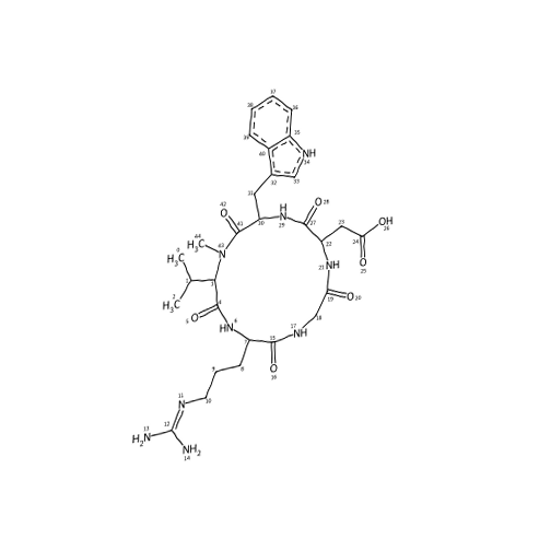 CC(C)C1C(=O)NC(CCCN=C(N)N)C(=O)NCC(=O)NC(CC(=O)O)C(=O)NC(Cc2c[nH]c3ccccc23)C(=O)N1C